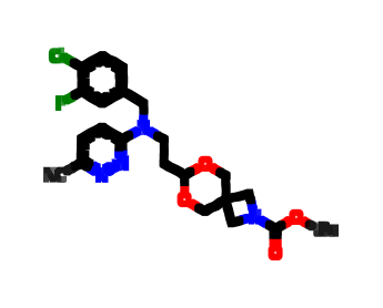 CC(C)(C)OC(=O)N1CC2(COC(CCN(Cc3ccc(Cl)c(F)c3)c3ccc(C#N)nn3)OC2)C1